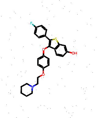 Oc1ccc2c(Oc3ccc(OCCN4CCCCC4)cc3)c(-c3ccc(F)cc3)sc2c1